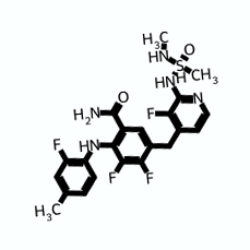 CN[SH](C)(=O)Nc1nccc(Cc2cc(C(N)=O)c(Nc3ccc(C)cc3F)c(F)c2F)c1F